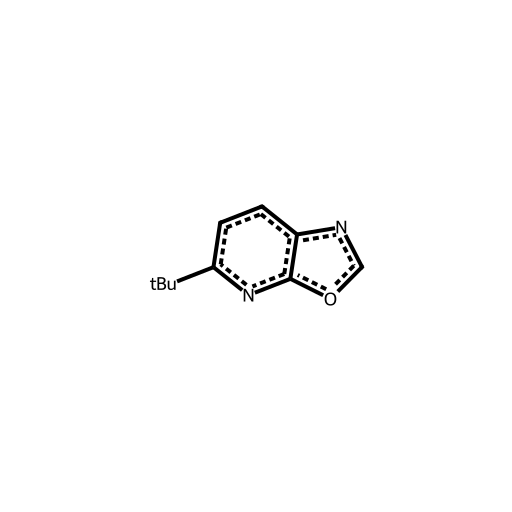 CC(C)(C)c1ccc2ncoc2n1